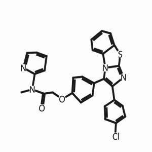 CN(C(=O)COc1ccc(-c2c(-c3ccc(Cl)cc3)nc3sc4ccccc4n23)cc1)c1ccccn1